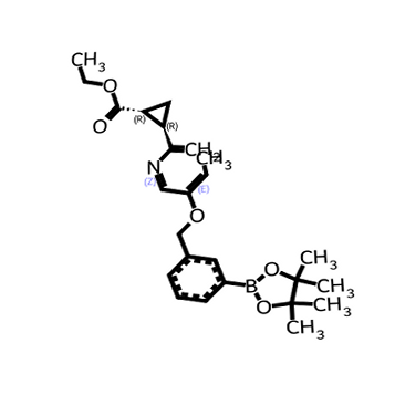 C=C(/N=C\C(=C/C)OCc1cccc(B2OC(C)(C)C(C)(C)O2)c1)[C@@H]1C[C@H]1C(=O)OCC